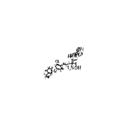 NC(CO)(CCCc1ccc(Oc2cccc(C(F)(F)F)c2)cc1Cl)COP(=O)(O)O